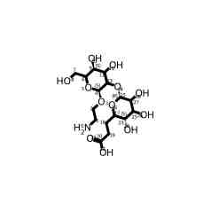 NCCO[C@H]1OC(CO)[C@@H](O)C(O)C1O[C@H]1OC(CCC(=O)O)[C@@H](O)C(O)C1O